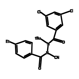 CCc1ccc(C(=O)N(C#N)N(C(=O)c2cc(Cl)cc(Cl)c2)C(C)(C)C)cc1